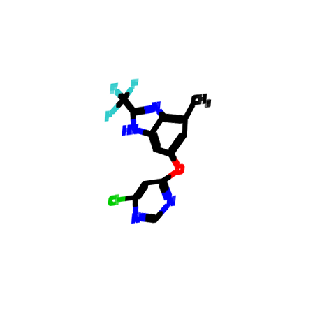 Cc1cc(Oc2cc(Cl)ncn2)cc2[nH]c(C(F)(F)F)nc12